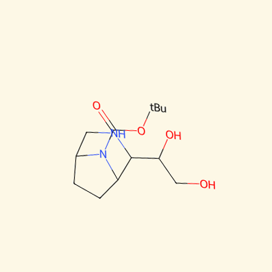 CC(C)(C)OC(=O)N1C2CCC1C(C(O)CO)NC2